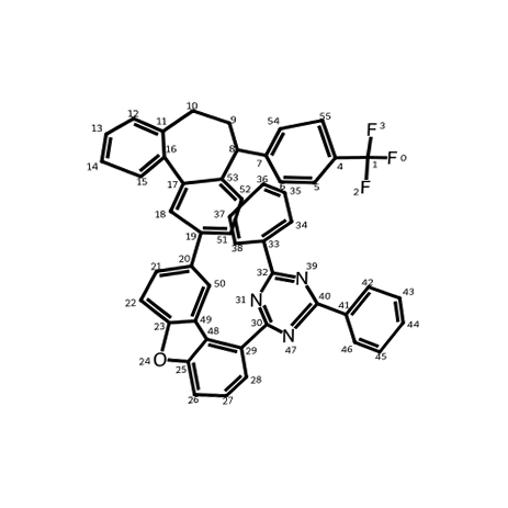 FC(F)(F)c1ccc(C2CCc3ccccc3-c3cc(-c4ccc5oc6cccc(-c7nc(-c8ccccc8)nc(-c8ccccc8)n7)c6c5c4)ccc32)cc1